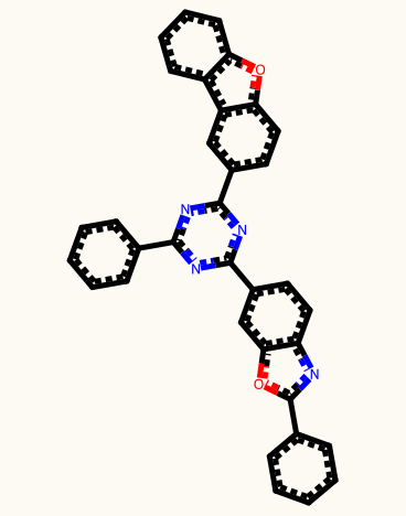 c1ccc(-c2nc(-c3ccc4nc(-c5ccccc5)oc4c3)nc(-c3ccc4oc5ccccc5c4c3)n2)cc1